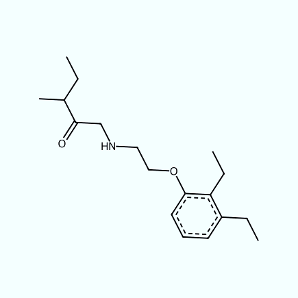 CCc1cccc(OCCNCC(=O)C(C)CC)c1CC